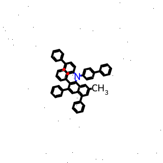 Cc1cc(-c2ccccc2)c2cc(-c3ccccc3)c(-c3ccccc3)c(N(c3ccc(-c4ccccc4)cc3)c3ccc(-c4ccccc4)cc3)c2c1